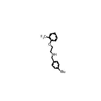 CC(C)(C)c1ccc(CNCCOc2ccccc2C(F)(F)F)cc1